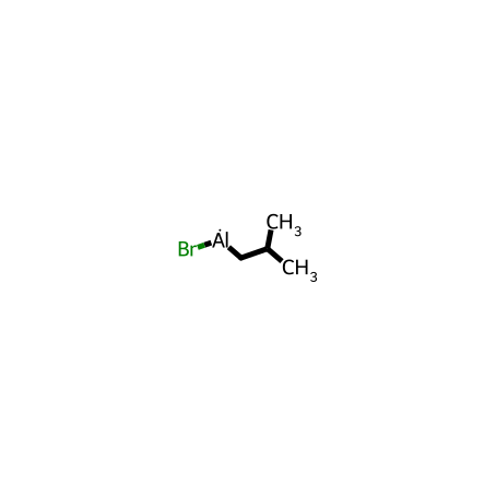 CC(C)[CH2][Al][Br]